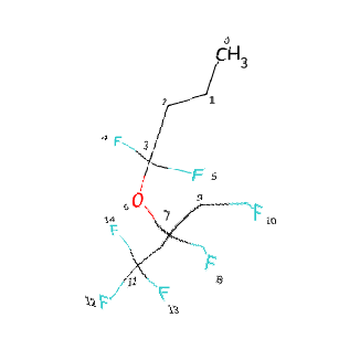 CCCC(F)(F)OC(F)(CF)C(F)(F)F